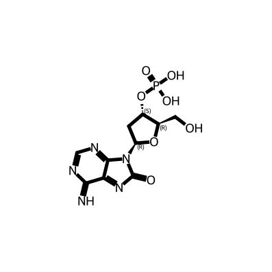 N=C1N=CN=C2C1=NC(=O)N2[C@H]1C[C@H](OP(=O)(O)O)[C@@H](CO)O1